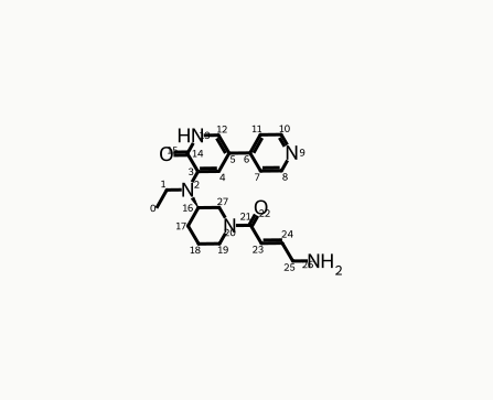 CCN(c1cc(-c2ccncc2)c[nH]c1=O)[C@@H]1CCCN(C(=O)/C=C/CN)C1